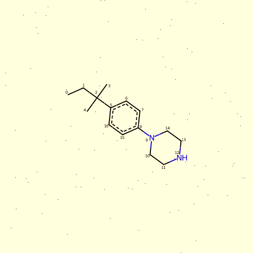 CCC(C)(C)c1ccc(N2CCNCC2)cc1